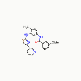 COc1cccc(C(=O)Nc2ccc(C)c(Nc3nc(-c4cccnc4)cs3)c2)c1